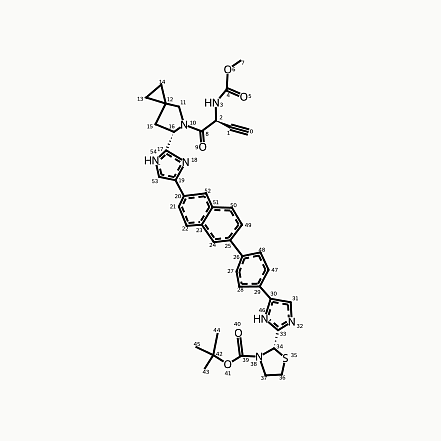 C#C[C@H](NC(=O)OC)C(=O)N1CC2(CC2)C[C@H]1c1nc(-c2ccc3cc(-c4ccc(-c5cnc([C@@H]6SCCN6C(=O)OC(C)(C)C)[nH]5)cc4)ccc3c2)c[nH]1